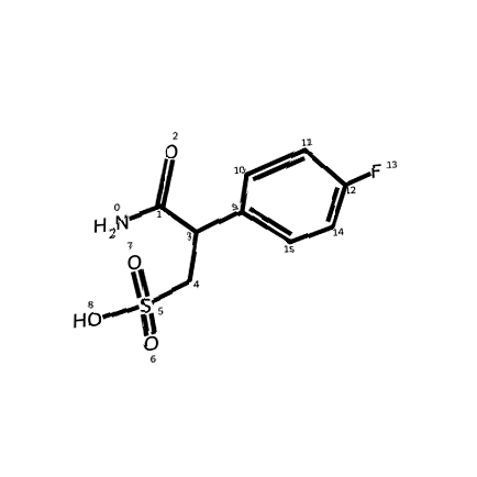 NC(=O)C(CS(=O)(=O)O)c1ccc(F)cc1